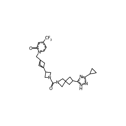 O=C(N1CC(C23CC(Cn4ccc(C(F)(F)F)cc4=O)(C2)C3)C1)N1CC2(CC(c3nc(C4CC4)n[nH]3)C2)C1